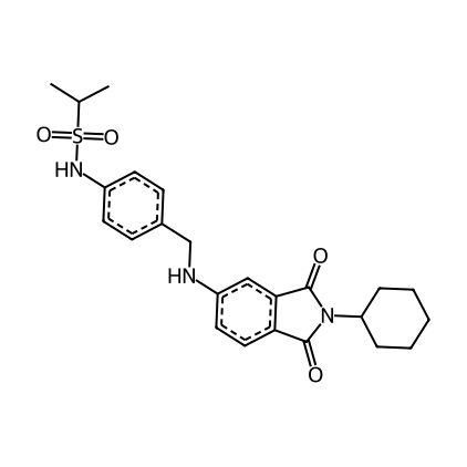 CC(C)S(=O)(=O)Nc1ccc(CNc2ccc3c(c2)C(=O)N(C2CCCCC2)C3=O)cc1